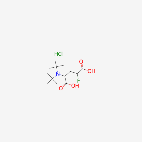 CC(C)(C)N(C(CC(F)C(=O)O)C(=O)O)C(C)(C)C.Cl